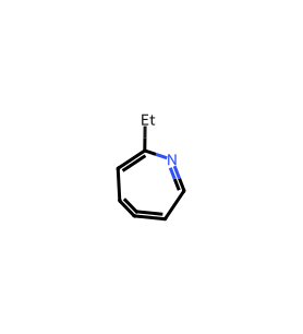 CCC1=CC=C=CC=N1